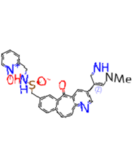 CN/C=C(\C=N)c1cnc2ccc3ccc(C[S+]([O-])NCc4cccc[n+]4O)cc3c(=O)c2c1